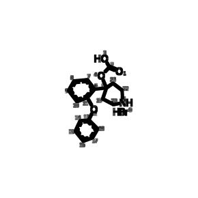 Br.O=C(O)OC1(c2ccccc2Oc2ccccc2)CCNCC1